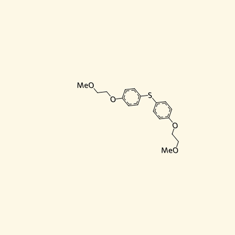 COCCOc1ccc(Sc2ccc(OCCOC)cc2)cc1